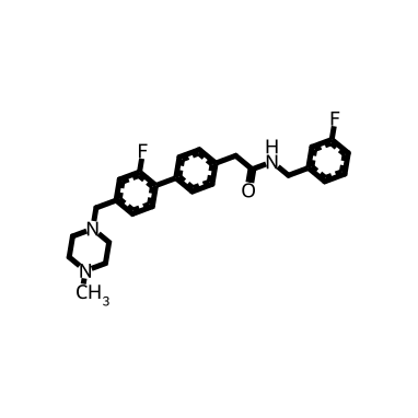 CN1CCN(Cc2ccc(-c3ccc(CC(=O)NCc4cccc(F)c4)cc3)c(F)c2)CC1